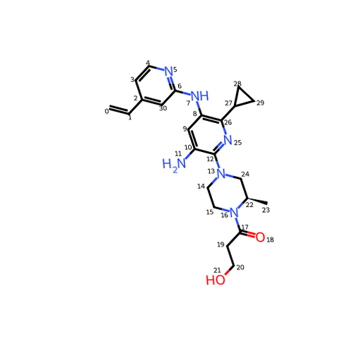 C=Cc1ccnc(Nc2cc(N)c(N3CCN(C(=O)CCO)[C@H](C)C3)nc2C2CC2)c1